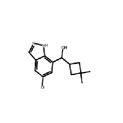 CC1(C)CC(C(O)c2cc(Cl)cc3cn[nH]c23)C1